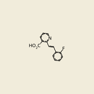 O=C(O)c1cccnc1/C=C/c1ccccc1F